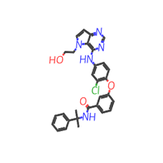 CC(C)(NC(=O)c1cccc(Oc2ccc(Nc3ncnc4ccn(CCO)c34)cc2Cl)c1)c1ccccc1